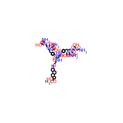 CC(=O)C1(O)CCC2C3CCC4=C/C(=N\OCCC(=O)NC(CCC(=O)Nc5ccc(CC(CN(CCN(CC(N)=O)CC(=O)O)CC(=O)O)N(CC(N)=O)CC(=O)O)cc5)C(=O)Nc5ccc(CC(CN(CCN(CC(N)=O)CC(=O)O)CC(=O)O)N(CC(N)=O)CC(=O)O)cc5)CCC4C3CCC21